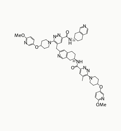 COc1ccc(OC2CCN(c3nnc(C(=O)N[C@@H]4CCc5cc(Cc6cc(C(=O)N[C@H]7CCc8ccncc8C7)nnc6N6CCC(Oc7ccc(OC)nc7)CC6)ncc5C4)cc3C)CC2)cn1